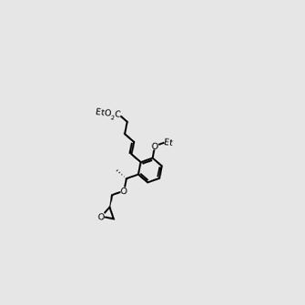 CCOC(=O)CC/C=C/c1c(OCC)cccc1[C@@H](C)OC[C@H]1CO1